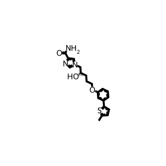 Cc1ccc(-c2cccc(OCCC[C@H](O)Cn3cnc(C(N)=O)c3)c2)s1